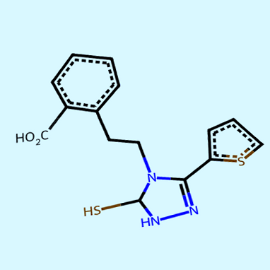 O=C(O)c1ccccc1CCN1C(c2cccs2)=NNC1S